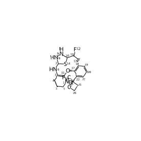 CCN1CCCC(NC2NNC(C(F)F)S2)=C1Oc1ccccc1C1(C(F)(F)F)CCO1